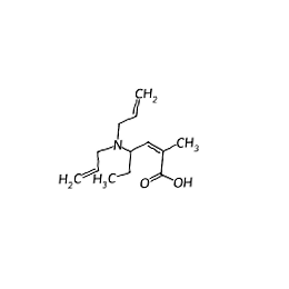 C=CCN(CC=C)C(C=C(C)C(=O)O)CC